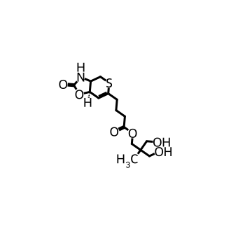 CC(CO)(CO)COC(=O)CCCC1=C[C@H]2OC(=O)NC2CS1